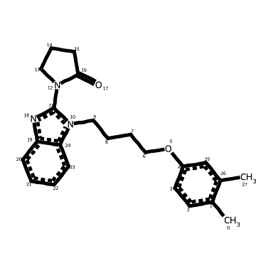 Cc1ccc(OCCCCn2c(N3CCCC3=O)nc3ccccc32)cc1C